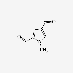 Cn1cc([C]=O)cc1C=O